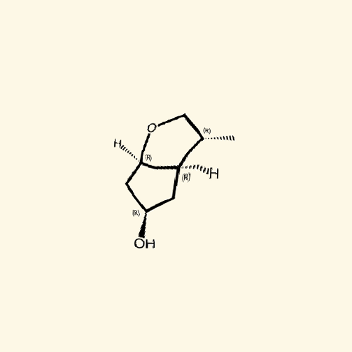 C[C@H]1CO[C@@H]2C[C@H](O)C[C@H]12